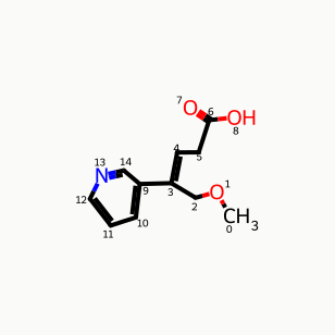 COC/C(=C\CC(=O)O)c1cccnc1